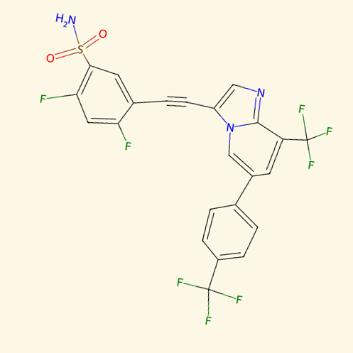 NS(=O)(=O)c1cc(C#Cc2cnc3c(C(F)(F)F)cc(-c4ccc(C(F)(F)F)cc4)cn23)c(F)cc1F